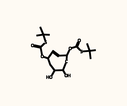 CC(C)(C)SC(=O)OC1/C=C/C(OC(=O)SC(C)(C)C)CC(O)C(O)C1